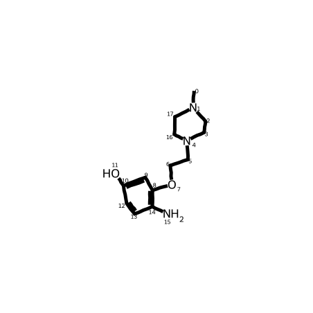 CN1CCN(CCOc2cc(O)ccc2N)CC1